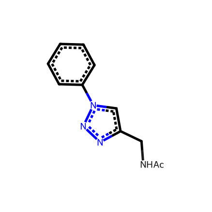 CC(=O)NCc1cn(-c2ccccc2)nn1